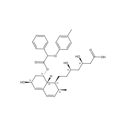 Cc1ccc(OC(C(=O)O[C@H]2C[C@H](O)C=C3C=C[C@H](C)[C@H](CC[C@@H](O)C[C@@H](O)CC(=O)O)[C@H]32)c2ccccc2)cc1